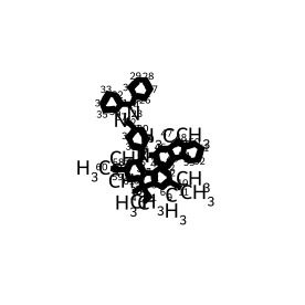 CCC1(CC)c2cc(C(C)(C)C)ccc2-c2c(N(c3ccc(-c4nc(-c5ccccc5)c5ccccc5n4)cc3)c3ccc4c(c3)C(C)(C)c3ccccc3-4)cc(C(C)(C)C)cc21